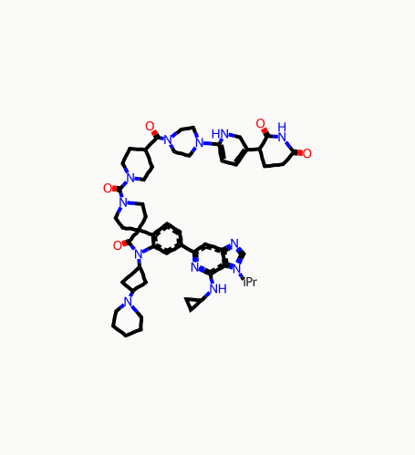 CC(C)n1cnc2cc(-c3ccc4c(c3)N(C3CC(N5CCCCC5)C3)C(=O)C43CCN(C(=O)N4CCC(C(=O)N5CCN(C6=CC=C(C7CCC(=O)NC7=O)CN6)CC5)CC4)CC3)nc(NC3CC3)c21